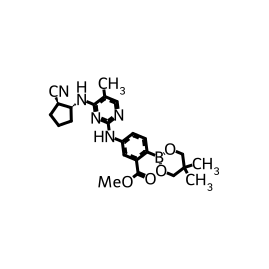 COC(=O)c1cc(Nc2ncc(C)c(N[C@@H]3CCC[C@H]3C#N)n2)ccc1B1OCC(C)(C)CO1